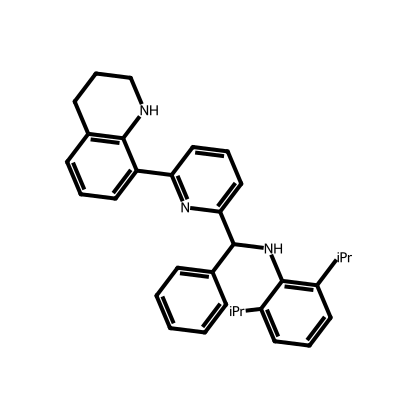 CC(C)c1cccc(C(C)C)c1NC(c1ccccc1)c1cccc(-c2cccc3c2NCCC3)n1